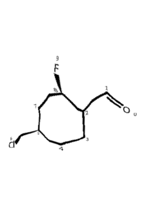 O=CC1CC[C@@H](Cl)C[C@H]1F